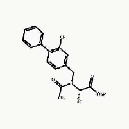 CCCCC(=O)N(Cc1ccc(-c2ccccc2)c(C#N)c1)[C@H](C(=O)OC)C(C)C